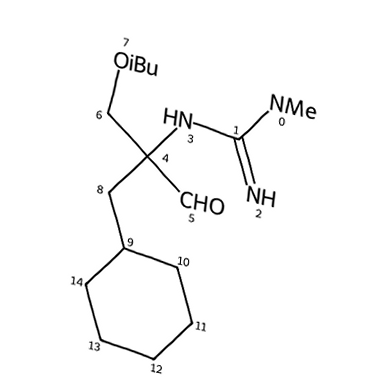 CNC(=N)NC(C=O)(COCC(C)C)CC1CCCCC1